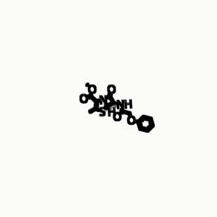 COC(=O)C1=C(C)S[C@@H]2[C@H](NC(=O)COc3ccccc3)C(=O)N12